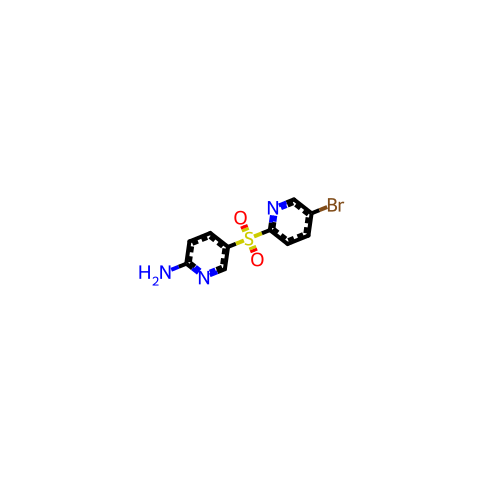 Nc1ccc(S(=O)(=O)c2ccc(Br)cn2)cn1